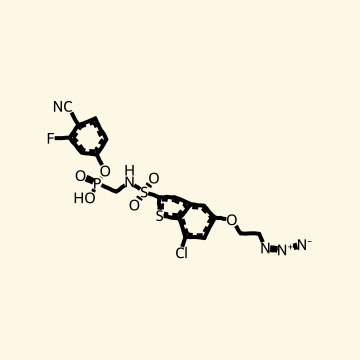 N#Cc1ccc(OP(=O)(O)CNS(=O)(=O)c2cc3cc(OCCN=[N+]=[N-])cc(Cl)c3s2)cc1F